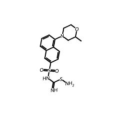 CC1CN(c2cccc3cc(S(=O)(=O)NC(=N)SN)ccc23)CCO1